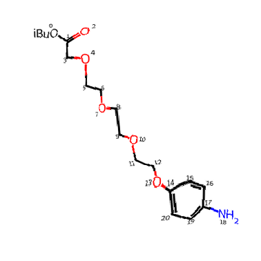 CC(C)COC(=O)COCCOCCOCCOc1ccc(N)cc1